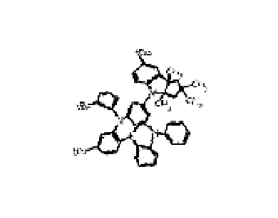 CC1(C)CC2(C)c3cc(C(C)(C)C)ccc3N(c3cc4c5c(c3)N(c3cccc(C(C)(C)C)c3)c3cc(C(C)(C)C)ccc3B5c3ccccc3N4c3ccccc3)C2(C)C1